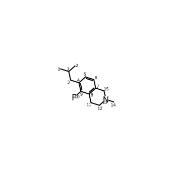 CC(C)Cc1ccc2c(c1F)CCN(C)C2